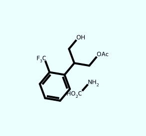 CC(=O)OCC(CO)c1ccccc1C(F)(F)F.NC(=O)O